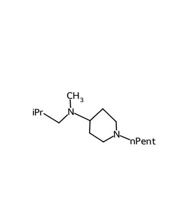 CCCCCN1CCC(N(C)CC(C)C)CC1